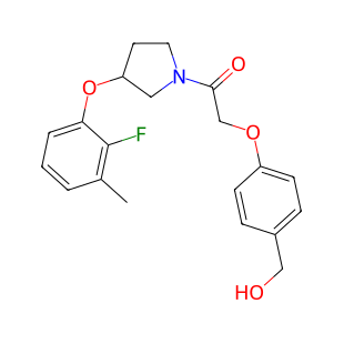 Cc1cccc(OC2CCN(C(=O)COc3ccc(CO)cc3)C2)c1F